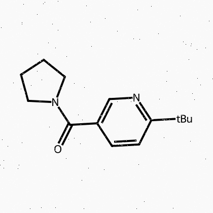 CC(C)(C)c1ccc(C(=O)N2CCCC2)cn1